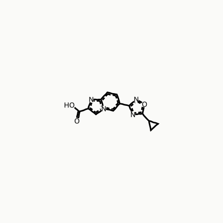 O=C(O)c1cn2cc(-c3noc(C4CC4)n3)ccc2n1